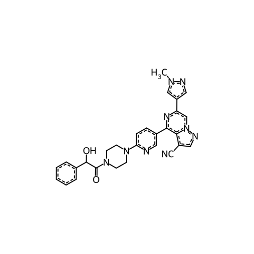 Cn1cc(-c2cn3ncc(C#N)c3c(-c3ccc(N4CCN(C(=O)C(O)c5ccccc5)CC4)nc3)n2)cn1